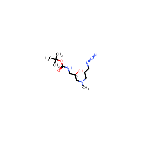 CN(CCCN=[N+]=[N-])C[C@H](O)CNC(=O)OC(C)(C)C